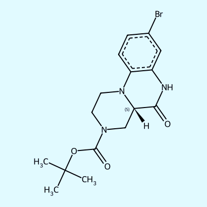 CC(C)(C)OC(=O)N1CCN2c3ccc(Br)cc3NC(=O)[C@@H]2C1